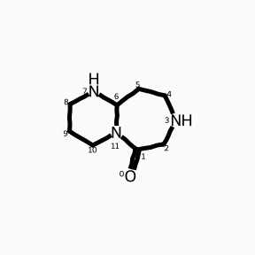 O=C1CNCCC2NCCCN12